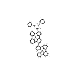 c1ccc(-c2nc(-c3ccccc3)nc(-c3ccc4c(c3)C3(c5ccccc5-c5ccccc53)c3cc(-c5cccc6c5-c5ccccc5C6(c5ccccc5)c5ccccc5)ccc3-4)n2)cc1